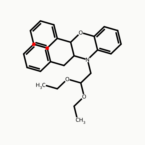 CCOC(CN1c2ccccc2OC(c2ccccc2)C1Cc1ccccc1)OCC